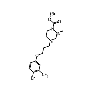 C[C@H]1C[C@@H](CCCOc2ccc(Br)c(C(F)(F)F)c2)CCN1C(=O)OC(C)(C)C